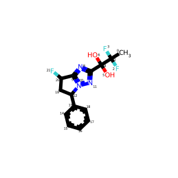 CC(F)(F)C(O)(O)c1nc2n(n1)C(c1ccccc1)CC2F